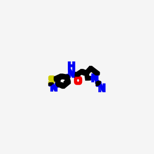 N#CN1CCC(=CC(=O)Nc2ccc3ncsc3c2)C1